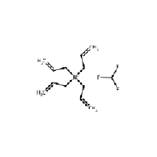 C=CC[N+](CC=C)(CC=C)CC=C.FC(F)F